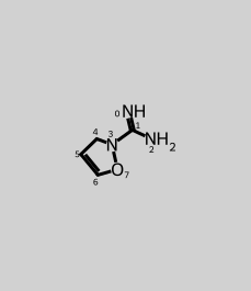 N=C(N)N1CC=CO1